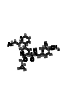 CC(=O)/C=C/c1ccccc1-c1cnc(OCC2CC2)c(C(=O)NCc2ccc(C)c(F)c2)c1